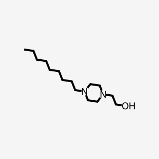 CCCCCCCCCN1CCN(CCO)CC1